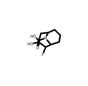 O=C(O)N1C2CCCC1C(F)C(O)C2